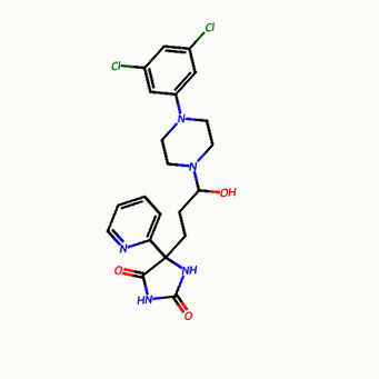 O=C1NC(=O)C(CCC(O)N2CCN(c3cc(Cl)cc(Cl)c3)CC2)(c2ccccn2)N1